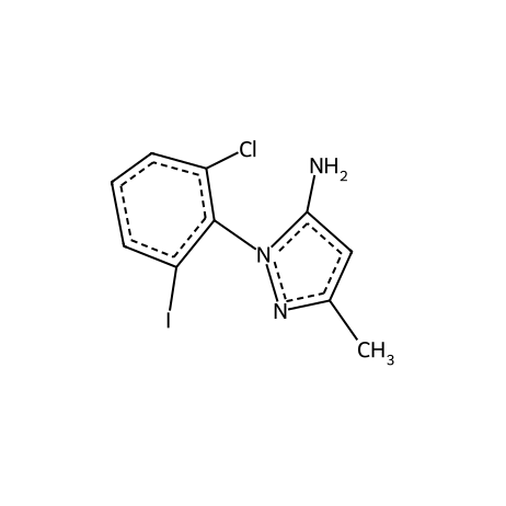 Cc1cc(N)n(-c2c(Cl)cccc2I)n1